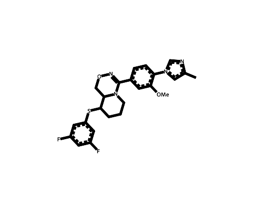 COc1cc(C2=NOCC3C(Sc4cc(F)cc(F)c4)CCCN23)ccc1-n1cnc(C)c1